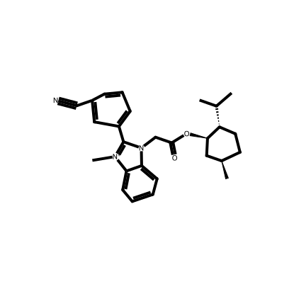 CC(C)[C@@H]1CC[C@@H](C)C[C@H]1OC(=O)Cn1c(-c2cccc(C#N)c2)[n+](C)c2ccccc21